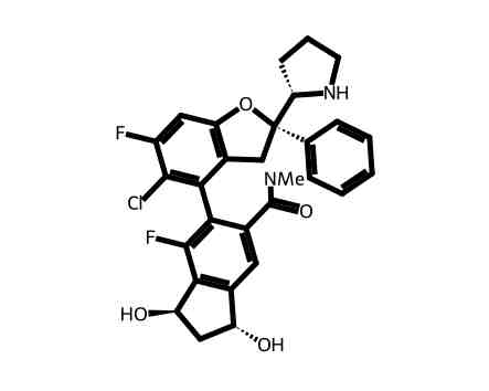 CNC(=O)c1cc2c(c(F)c1-c1c(Cl)c(F)cc3c1C[C@](c1ccccc1)([C@@H]1CCCN1)O3)[C@H](O)C[C@H]2O